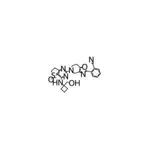 N#Cc1ccccc1-c1nc2c(o1)CCN(c1nc3c(c(NC4(CO)CCC4)n1)[S+]([O-])CC3)C2